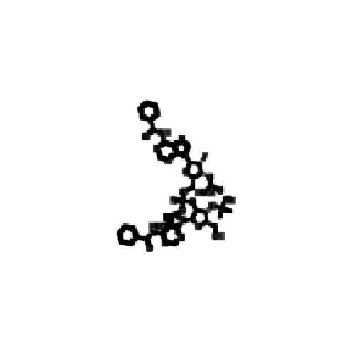 CC(C)(C)[Si](C)(C)O[C@H]1C(OP(=S)(OCCC#N)OC[C@H]2O[C@@H](n3cnc4c(NC(=O)c5ccccc5)ncnc43)[C@H](F)[C@@H]2O[PH](=O)O)[C@H](n2cnc3c(NC(=O)c4ccccc4)ncnc32)O[C@@H]1CO